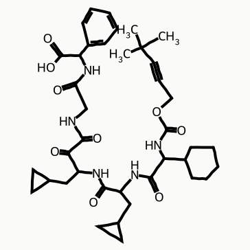 CC(C)(C)C#CCOC(=O)NC(C(=O)NC(CC1CC1)C(=O)NC(CC1CC1)C(=O)C(=O)NCC(=O)NC(C(=O)O)c1ccccc1)C1CCCCC1